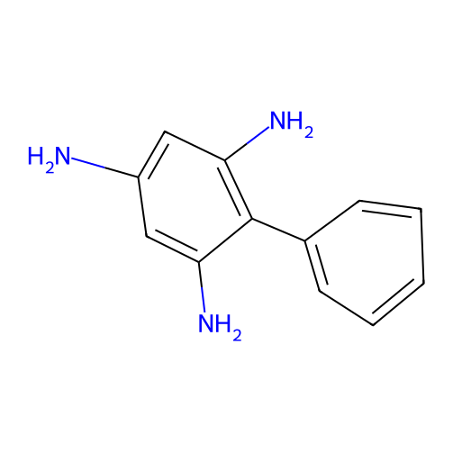 Nc1cc(N)c(-c2ccccc2)c(N)c1